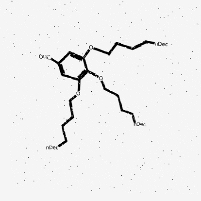 CCCCCCCCCCCCCCOc1cc(C=O)cc(OCCCCCCCCCCCCCC)c1OCCCCCCCCCCCCCC